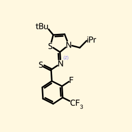 CC(C)Cn1cc(C(C)(C)C)s/c1=N\C(=S)c1cccc(C(F)(F)F)c1F